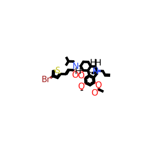 C=CCN1CC[C@]23c4c5c(OC(C)=O)cc(OC)c4O[C@H]2[C@H](N(CC(C)C)C(=O)/C=C/c2cc(Br)cs2)CC[C@H]3[C@H]1C5